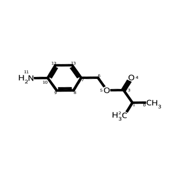 CC(C)C(=O)OCc1ccc(N)cc1